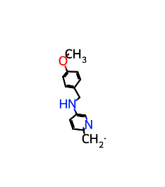 [CH2]c1ccc(NCc2ccc(OC)cc2)cn1